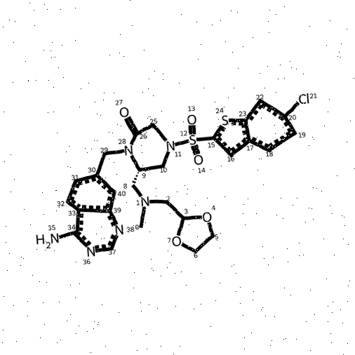 CN(CC1OCCO1)C[C@H]1CN(S(=O)(=O)c2cc3ccc(Cl)cc3s2)CC(=O)N1Cc1ccc2c(N)ncnc2c1